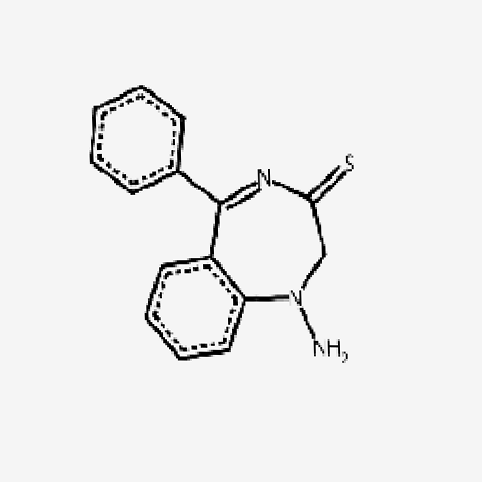 NN1CC(=S)N=C(c2ccccc2)c2ccccc21